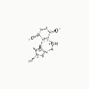 O=C1C=CC(=O)C2=C1NCc1cc(F)cn12